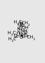 CCOC(=O)C1=C(Nc2cccc(S(=O)(=O)N(C)C)c2O)C(N[C@H](CC)c2ccc(C)o2)=NS1(=O)=O